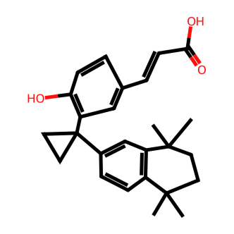 CC1(C)CCC(C)(C)c2cc(C3(c4cc(C=CC(=O)O)ccc4O)CC3)ccc21